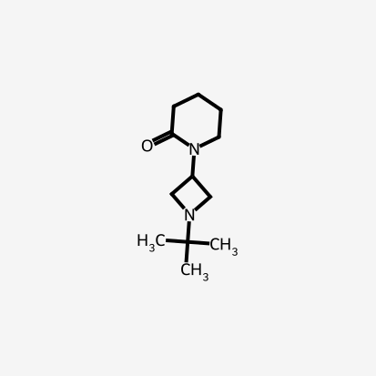 CC(C)(C)N1CC(N2CCCCC2=O)C1